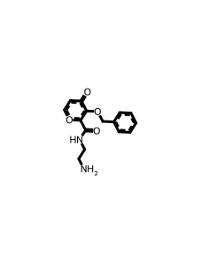 NCCNC(=O)c1occc(=O)c1OCc1ccccc1